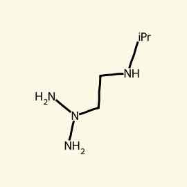 CC(C)NCCN(N)N